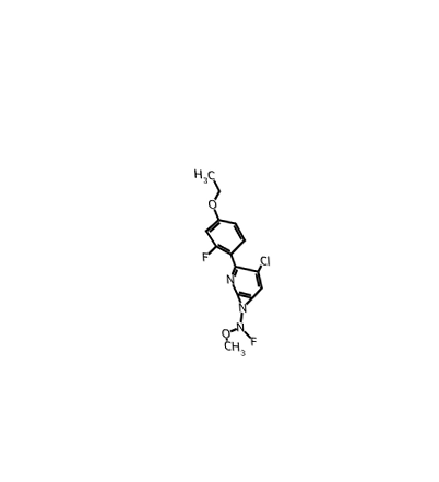 CCOc1ccc(-c2nc3c(cc2Cl)N3N(F)OC)c(F)c1